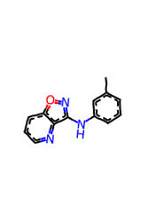 Cc1cccc(Nc2noc3cccnc23)c1